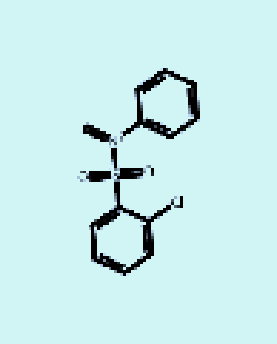 C=[N+](c1ccccc1)S(=O)(=O)c1ccccc1Cl